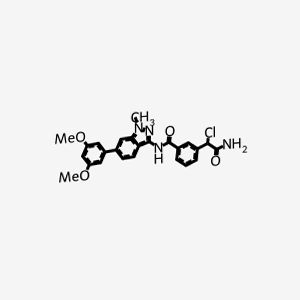 COc1cc(OC)cc(-c2ccc3c(NC(=O)c4cccc(C(Cl)C(N)=O)c4)nn(C)c3c2)c1